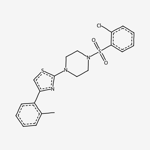 Cc1ccccc1-c1csc(N2CCN(S(=O)(=O)c3ccccc3Cl)CC2)n1